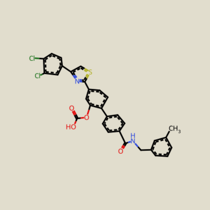 Cc1cccc(CNC(=O)c2ccc(-c3ccc(-c4nc(-c5ccc(Cl)c(Cl)c5)cs4)cc3OC(=O)O)cc2)c1